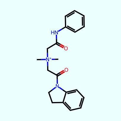 C[N+](C)(CC(=O)Nc1ccccc1)CC(=O)N1CCc2ccccc21